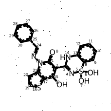 O=c1c(C2=NS(O)(O)c3ccccc3N2)c(O)c2sccc2n1N=Cc1ccccc1